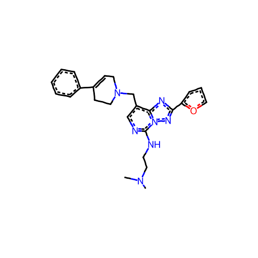 CN(C)CCNc1ncc(CN2CC=C(c3ccccc3)CC2)c2nc(-c3ccco3)nn12